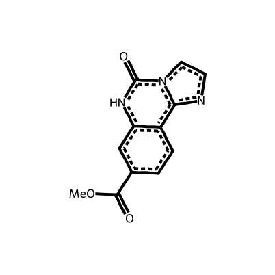 COC(=O)c1ccc2c(c1)[nH]c(=O)n1ccnc21